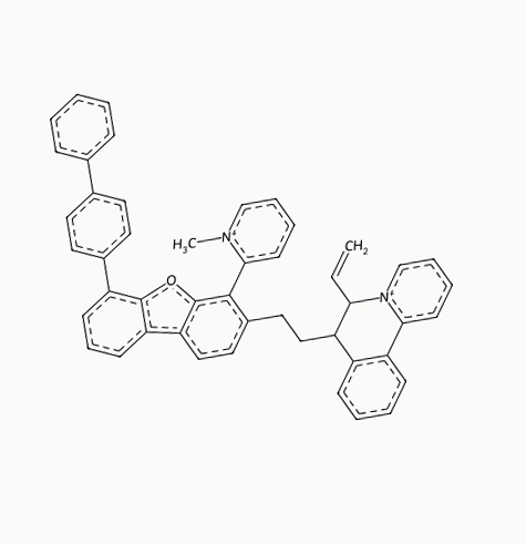 C=CC1C(CCc2ccc3c(oc4c(-c5ccc(-c6ccccc6)cc5)cccc43)c2-c2cccc[n+]2C)c2ccccc2-c2cccc[n+]21